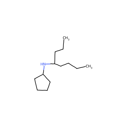 CCCCC(CCC)NC1CCCC1